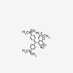 CC(=O)[O-].CN(C)c1ccc(C(=C2C=CC(=[N+](C)C)C=C2)c2cccc3c2C=CC(C)(C)O3)cc1